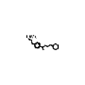 COCCCc1ccc(C(C)CCCC2CCCCC2)cc1